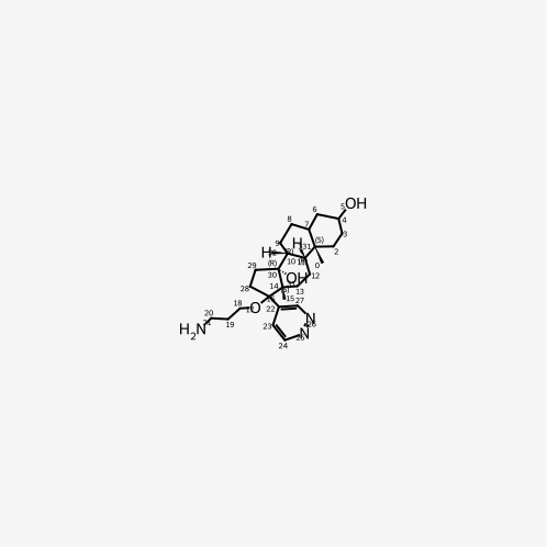 C[C@]12CCC(O)CC1CC[C@@H]1[C@H]2CC[C@]2(C)C(OCCCN)(c3ccnnc3)CC[C@@]12O